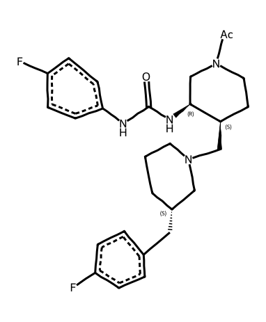 CC(=O)N1CC[C@@H](CN2CCC[C@@H](Cc3ccc(F)cc3)C2)[C@@H](NC(=O)Nc2ccc(F)cc2)C1